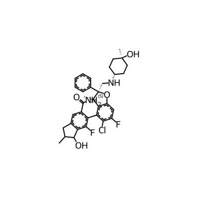 CC1Cc2cc(C(N)=O)c(-c3c(Cl)c(F)cc4c3[C@H](C)[C@@](CN[C@H]3CC[C@](C)(O)CC3)(c3ccccc3)O4)c(F)c2C1O